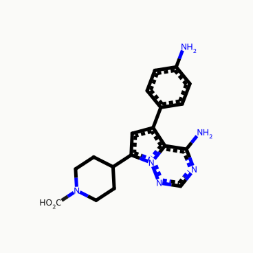 Nc1ccc(-c2cc(C3CCN(C(=O)O)CC3)n3ncnc(N)c23)cc1